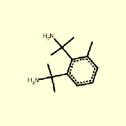 Cc1cccc(C(C)(C)N)c1C(C)(C)N